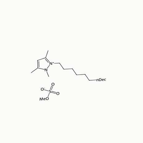 CCCCCCCCCCCCCCCC[n+]1c(C)cc(C)n1C.COS(=O)(=O)[O-]